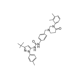 Cc1ccc(-n2nc(C(C)(C)C)cc2NC(=O)Nc2ccc(CN3CCC(=O)N(c4cccc(C)c4C)C3)cc2)cc1